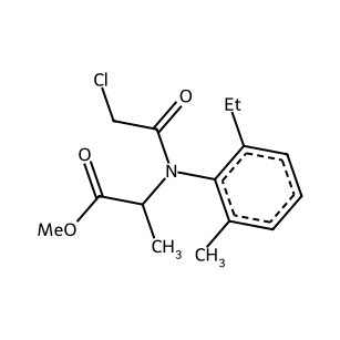 CCc1cccc(C)c1N(C(=O)CCl)C(C)C(=O)OC